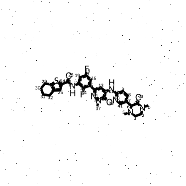 CN1CCN(C)C(c2ccc(Nc3cc(-c4cc(F)cc(NC(=O)c5cc6c(s5)CCCC6)c4F)nn(C)c3=O)nc2)C1=O